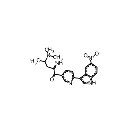 CC(CC(=N)C(=O)c1ccc(-c2c[nH]c3ccc([N+](=O)[O-])cc23)nc1)N(C)C